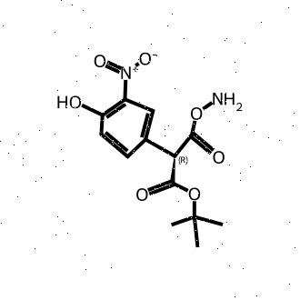 CC(C)(C)OC(=O)[C@H](C(=O)ON)c1ccc(O)c([N+](=O)[O-])c1